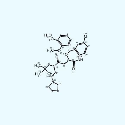 COc1cccc([C@H]2O[C@H](CC(=O)N(CCN3CCCC3)CC(C)(C)C)C(=O)Nc3ccc(Cl)cc32)c1OC